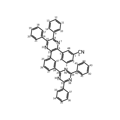 N#Cc1cccc(-c2nc(-c3ccccc3)c(-c3ccccc3)nc2-c2cccc(-c3nc(-c4ccccc4)nc(-c4ccccc4)n3)c2)c1